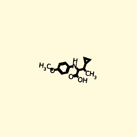 COc1ccc(NC(C(=O)O)C(C)C2CC2)cc1